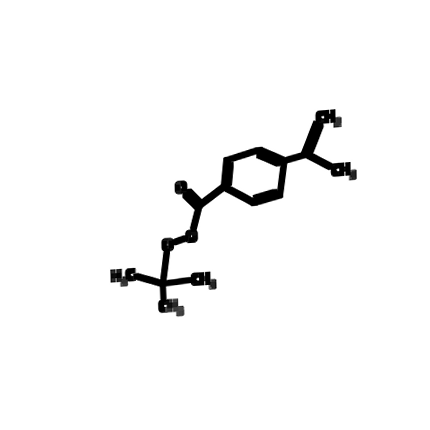 C=C(C)c1ccc(C(=O)OOC(C)(C)C)cc1